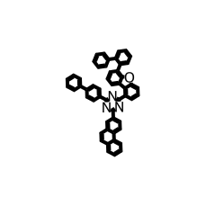 c1ccc(-c2ccc(-c3nc(-c4ccc5c(ccc6ccccc65)c4)nc(-c4cccc5oc6c(-c7ccccc7-c7ccccc7)cccc6c45)n3)cc2)cc1